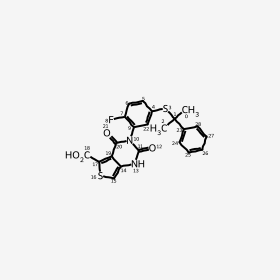 CC(C)(Sc1ccc(F)c(-n2c(=O)[nH]c3csc(C(=O)O)c3c2=O)c1)c1ccccc1